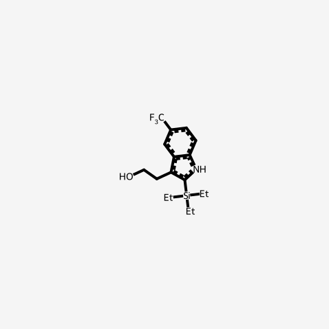 CC[Si](CC)(CC)c1[nH]c2ccc(C(F)(F)F)cc2c1CCO